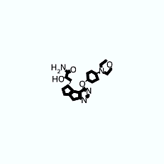 NC(=O)[C@@H](O)C[C@H]1CCC2=C1c1c(ncnc1O[C@H]1CC[C@H](N3CCOCC3)CC1)C2